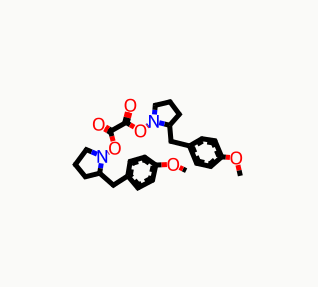 COc1ccc(CC2CCCN2OC(=O)C(=O)ON2CCCC2Cc2ccc(OC)cc2)cc1